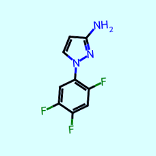 Nc1ccn(-c2cc(F)c(F)cc2F)n1